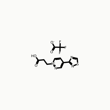 O=C(O)CC[n+]1ccc(-c2ncsn2)cn1.O=C([O-])C(F)(F)F